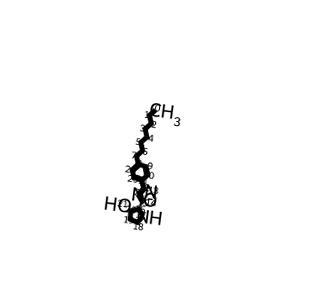 CCCCCCCCc1ccc(-c2noc([C@H]3NCC[C@@H]3O)n2)cc1